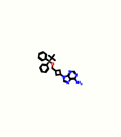 CC(C)(C)[Si](OCC1CC(n2cnc3c(N)ncnc32)C1)(c1ccccc1)c1ccccc1